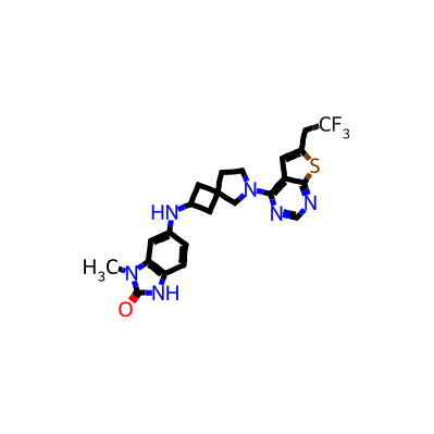 Cn1c(=O)[nH]c2ccc(NC3CC4(CCN(c5ncnc6sc(CC(F)(F)F)cc56)C4)C3)cc21